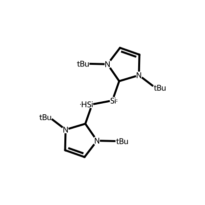 CC(C)(C)N1C=CN(C(C)(C)C)C1[Si][SiH]C1N(C(C)(C)C)C=CN1C(C)(C)C